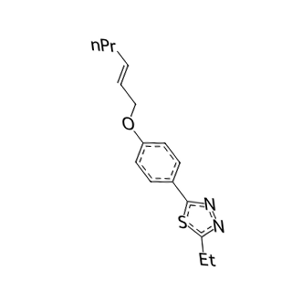 CCCC=CCOc1ccc(-c2nnc(CC)s2)cc1